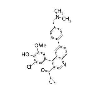 COc1cc(-c2c(C(=O)C3CC3)cnc3ccc(-c4ccc(CN(C)C)cc4)cc23)cc(Cl)c1O